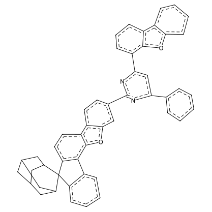 c1ccc(-c2cc(-c3cccc4c3oc3ccccc34)nc(-c3ccc4c(c3)oc3c5c(ccc34)C3(c4ccccc4-5)C4CC5CC(C4)CC3C5)n2)cc1